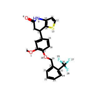 COc1cc(C2CC(=O)Nc3ccsc32)ccc1OCc1ccccc1C(F)(F)F